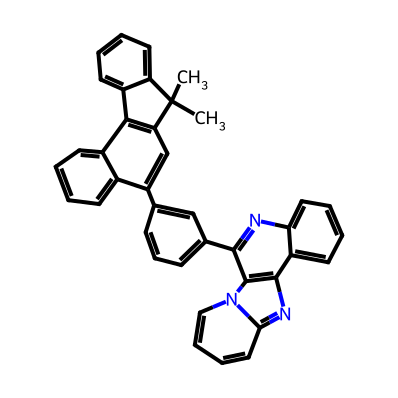 CC1(C)c2ccccc2-c2c1cc(-c1cccc(-c3nc4ccccc4c4nc5ccccn5c34)c1)c1ccccc21